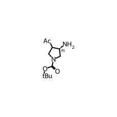 CC(=O)C1CN(C(=O)OC(C)(C)C)C[C@@H]1N